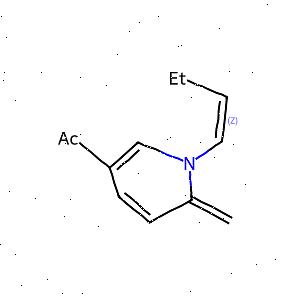 C=C1C=CC(C(C)=O)=CN1/C=C\CC